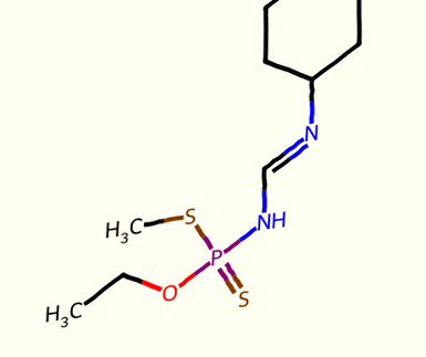 CCOP(=S)(N/C=N/C1CCCCC1)SC